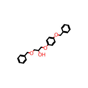 O[C@@H](COCc1ccccc1)COc1ccc(OCc2ccccc2)cc1